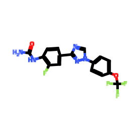 NC(=O)Nc1ccc(-c2ncn(-c3ccc(OC(F)(F)F)cc3)n2)cc1F